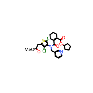 COC(=O)Cc1sc(Cl)c(N(Cc2cccnc2)C(=O)C2=C(C(=O)OC3CCCC3)CCCC2)c1Cl